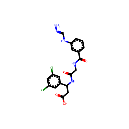 NN=CNc1cccc(C(=O)NCC(=O)NC(CC(=O)O)c2cc(Cl)cc(Cl)c2)c1